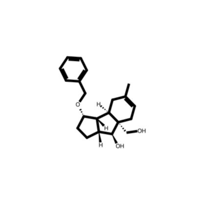 CC1=CC[C@]2(CO)[C@H](C1)[C@@H]1[C@@H](CC[C@@H]1OCc1ccccc1)[C@@H]2O